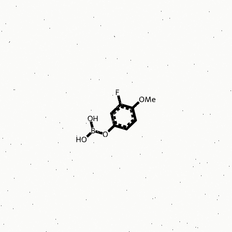 COc1ccc(OB(O)O)cc1F